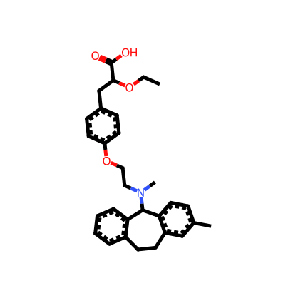 CCOC(Cc1ccc(OCCN(C)C2c3ccccc3CCc3cc(C)ccc32)cc1)C(=O)O